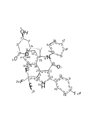 O=C1C[C@@H](O)C[C@H](CCN(C(=O)c2c(-c3ccc(F)cc3)[nH]c(C(F)(F)F)c2-c2ccccc2)c2ccccc2)O1